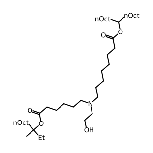 CCCCCCCCC(CCCCCCCC)OC(=O)CCCCCCCN(CCO)CCCCCC(=O)OC(C)(CC)CCCCCCCC